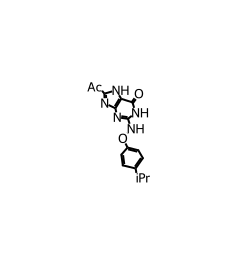 CC(=O)c1nc2nc(NOc3ccc(C(C)C)cc3)[nH]c(=O)c2[nH]1